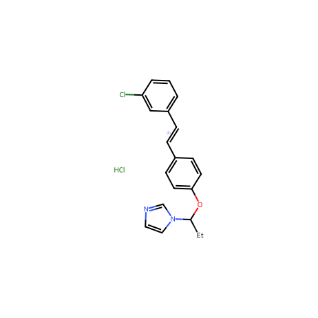 CCC(Oc1ccc(/C=C/c2cccc(Cl)c2)cc1)n1ccnc1.Cl